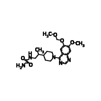 COCOc1cc2c(N3CCC(C(C)CNS(N)(=O)=O)CC3)ncnc2cc1OC